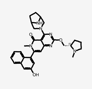 CN1CCC[C@H]1COc1nc(N2CC3CCC(C2)N3)c2c(=O)n(C)c(-c3cc(O)cc4ccccc34)cc2n1